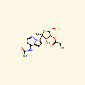 CCCC(=O)Nc1ncnn2c([C@]3(C)O[C@H](CO)[C@@H](OC(=O)CC(C)C)[C@H]3O)ccc12